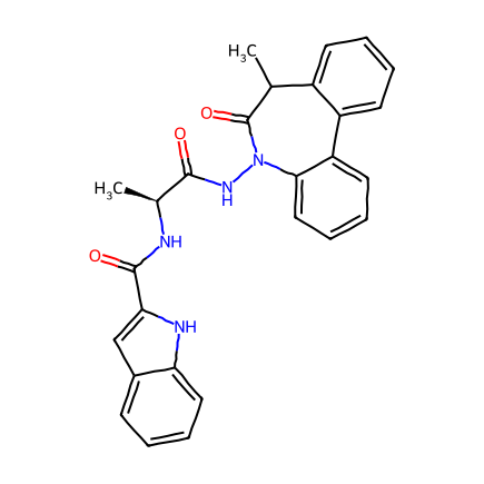 CC1C(=O)N(NC(=O)[C@H](C)NC(=O)c2cc3ccccc3[nH]2)c2ccccc2-c2ccccc21